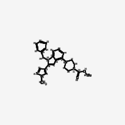 Cn1cc(-c2cc3c(N4CCN(C(=O)OC(C)(C)C)CC4)ccnc3n2Sc2ccccc2)cn1